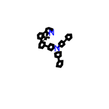 C[Si]1(C)c2ncccc2-c2cccc(-c3cccc(-c4ccc(N(c5ccc(-c6ccccc6)cc5)c5ccc(-c6ccccc6)cc5)cc4)c3)c21